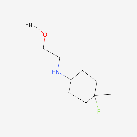 CCCCOCCNC1CCC(C)(F)CC1